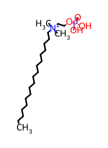 CCCCCCCCCCCCCCCCCC[N+](C)(C)CCOP(=O)(O)O